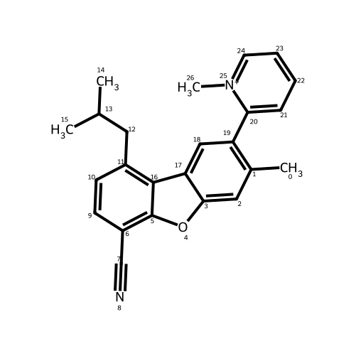 Cc1cc2oc3c(C#N)ccc(CC(C)C)c3c2cc1-c1cccc[n+]1C